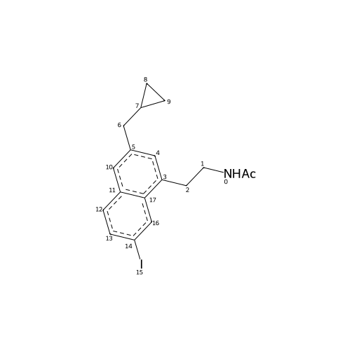 CC(=O)NCCc1cc(CC2CC2)cc2ccc(I)cc12